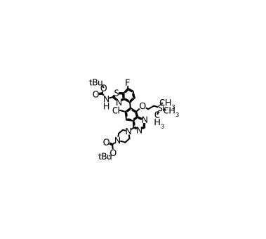 CC(C)(C)OC(=O)Nc1nc2c(-c3c(Cl)cc4c(N5CCN(C(=O)OC(C)(C)C)CC5)ncnc4c3OCC[Si](C)(C)C)ccc(F)c2s1